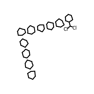 C1CCCCC1.C1CCCCC1.C1CCCCC1.C1CCCCC1.C1CCCCC1.C1CCCCC1.C1CCCCC1.C1CCCCC1.C1CCCCC1.ClC(Cl)C1CCCCC1